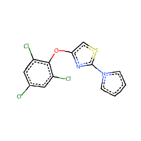 Clc1cc(Cl)c(Oc2csc(-n3cccc3)n2)c(Cl)c1